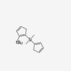 CC(C)(C)C1=C([Si](C)(C)C2=CC=CC2)CC=C1